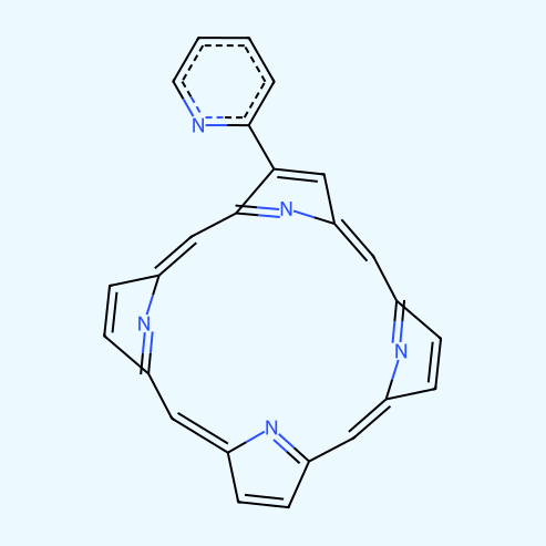 C1=CC2=NC1=CC1=NC(=CC3=NC(=CC4=NC(=C2)C=C4)C=C3c2ccccn2)C=C1